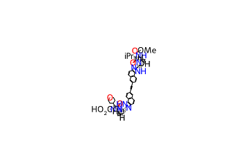 COC(=O)N[C@H](C(=O)N1[C@@H]2C[C@H]2C[C@H]1c1nc2ccc3cc(C#Cc4ccc5c(ccc6nc([C@@H]7C[C@H]8C[C@H]8N7C(=O)[C@@H](NC(=O)O)C7CCOCC7)[nH]c65)c4)ccc3c2[nH]1)C(C)C